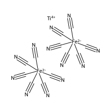 N#[C][Fe-2]([C]#N)([C]#N)([C]#N)([C]#N)[C]#N.N#[C][Fe-2]([C]#N)([C]#N)([C]#N)([C]#N)[C]#N.[Ti+4]